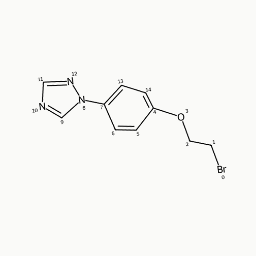 BrCCOc1ccc(-n2cncn2)cc1